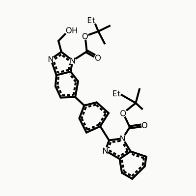 CCC(C)(C)OC(=O)n1c(CO)nc2ccc(-c3ccc(-c4nc5ccccc5n4C(=O)OC(C)(C)CC)cc3)cc21